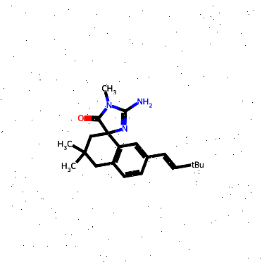 CN1C(=O)C2(CC(C)(C)Cc3ccc(C=CC(C)(C)C)cc32)N=C1N